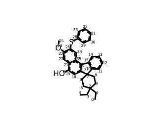 CCC1(CC)CCC2(CC1)c1ccccc1-c1c2cc(O)c2cc(OC)c(Sc3ccccc3)cc12